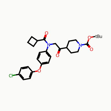 CC(C)(C)OC(=O)N1CCC(C(=O)CN(C(=O)C2CCC2)c2ccc(Oc3ccc(Cl)cc3)cc2)CC1